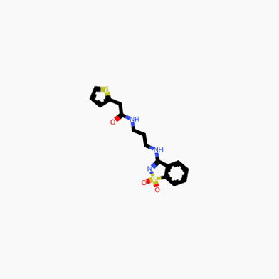 O=C(Cc1cccs1)NCCCNC1=NS(=O)(=O)c2ccccc21